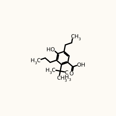 CCCc1cc(C(=O)O)c(C(C)(C)C)c(CCC)c1O